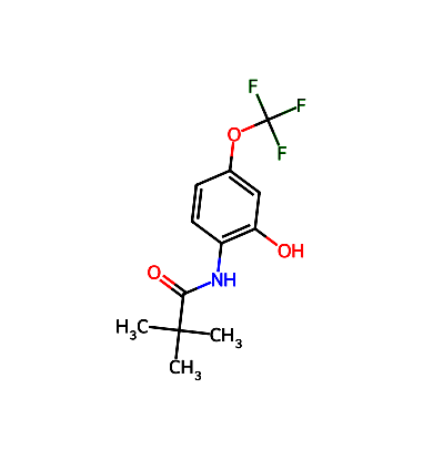 CC(C)(C)C(=O)Nc1ccc(OC(F)(F)F)cc1O